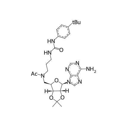 CC(=O)N(CCCNC(=O)Nc1ccc(C(C)(C)C)cc1)C[C@H]1O[C@@H](n2cnc3c(N)ncnc32)[C@@H]2OC(C)(C)O[C@@H]21